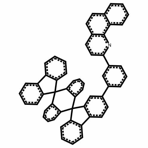 c1cc(-c2ccc3c(c2)C2(c4ccccc4-3)c3ccccc3C3(c4ccccc4-c4ccccc43)c3ccccc32)cc(-c2ccc3ccc4ccccc4c3n2)c1